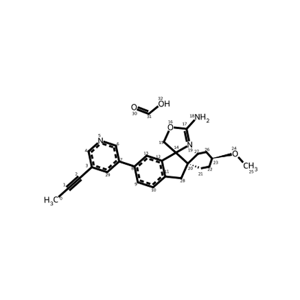 CC#Cc1cncc(-c2ccc3c(c2)C2(COC(N)=N2)[C@]2(CC[C@H](OC)CC2)C3)c1.O=CO